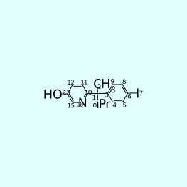 CC(C)C(C)(c1ccc(I)cc1)c1ccc(O)cn1